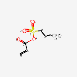 C=CC(=O)OS(=O)(=O)CCC=O